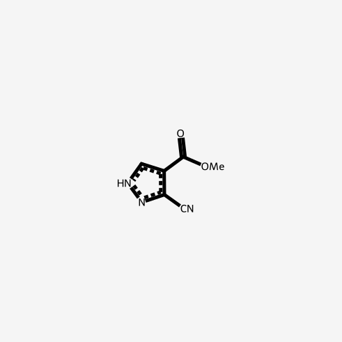 COC(=O)c1c[nH]nc1C#N